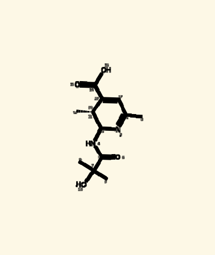 CC1=NC(NC(=O)C(C)(C)O)[C@H](C)C(C(=O)O)=C1